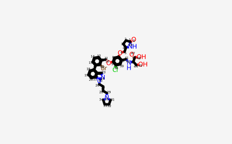 O=C1CCC(COc2cc(OCc3cccc(-c4cccc5c4cnn5CCCCN4CCCC4)c3Br)c(Cl)cc2CNC(CO)C(=O)O)N1